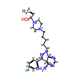 C=CC(O)N1CCN(CCCCCn2nc(-c3ccc(F)cc3)c3c(N)ncnc32)CC1